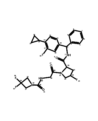 O=C(NC(c1ccccc1)c1ccc(C2CC2)c(F)c1)C1CC(F)CN1C(=O)CNC(=O)N1CC(F)(F)C1